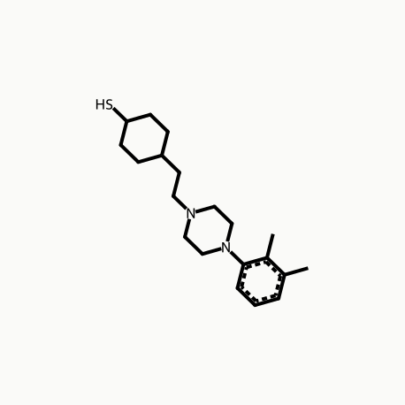 Cc1cccc(N2CCN(CCC3CCC(S)CC3)CC2)c1C